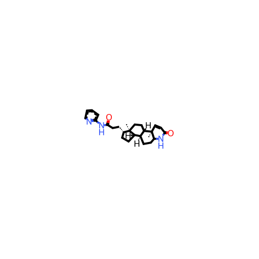 C[C@]12CC[C@H]3[C@@H](CCC4NC(=O)C=C[C@@]43C)[C@@H]1CC[C@@H]2CCC(=O)Nc1ccccn1